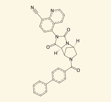 N#Cc1ccc(N2C(=O)[C@@H]3C4C[C@H](CN4C(=O)c4ccc(-c5ccccc5)cc4)N3C2=O)c2cccnc12